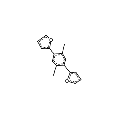 Cc1cc(-c2ccco2)c(C)cc1-c1ccco1